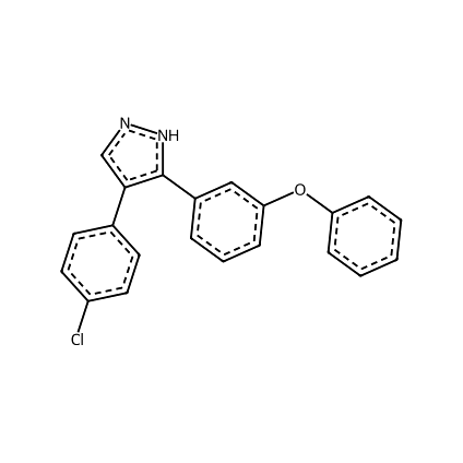 Clc1ccc(-c2cn[nH]c2-c2cccc(Oc3ccccc3)c2)cc1